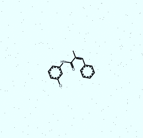 C/C(=C/c1ccccc1)C(=O)Nc1cccc(Cl)c1